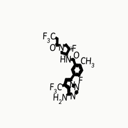 Cc1cc(F)c(-c2cc(C(F)(F)F)c3c(N)ncnn23)cc1C(=O)N[C@@H]1CN(C(=O)CC(F)(F)F)C[C@@H]1F